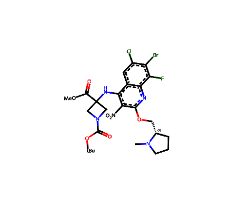 COC(=O)C1(Nc2c([N+](=O)[O-])c(OC[C@@H]3CCCN3C)nc3c(F)c(Br)c(Cl)cc23)CN(C(=O)OC(C)(C)C)C1